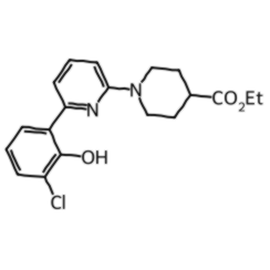 CCOC(=O)C1CCN(c2cccc(-c3cccc(Cl)c3O)n2)CC1